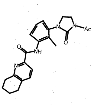 CC(=O)N1CCN(c2cccc(NC(=O)c3ccc4c(n3)CCCC4)c2C)C1=O